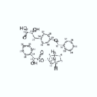 CN1[C@@H]2CC[C@H]1C[C@@H](OC(=O)C(O)c1ccccc1)C2.O=C(O)C(O)Cc1ccc(OCc2ccccc2)cc1